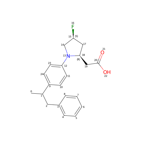 CC(Cc1ccccc1)c1ccc(N2C[C@@H](F)C[C@H]2CC(=O)O)cc1